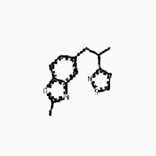 Cc1nc2cc(CC(C)c3ccsn3)ccc2o1